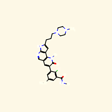 CCNC(=O)c1cc(OC)cc(-c2cc3cnc4[nH]c(CCCN5CCN(C)CC5)cc4c3n(CC)c2=O)c1Cl